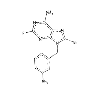 Nc1cccc(Cn2c(Br)nc3c(N)nc(F)nc32)c1